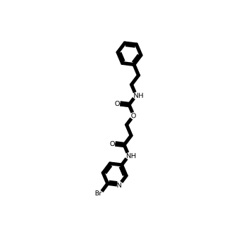 O=C(CCOC(=O)NCCc1ccccc1)Nc1ccc(Br)nc1